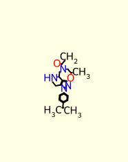 C=CC(=O)N1CC(C)Oc2nn(-c3ccc(C(C)C)cc3)c3c2C(C1)NCC3